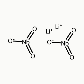 [Li+].[Li+].[O]=[Nb](=[O])[O-].[O]=[Nb](=[O])[O-]